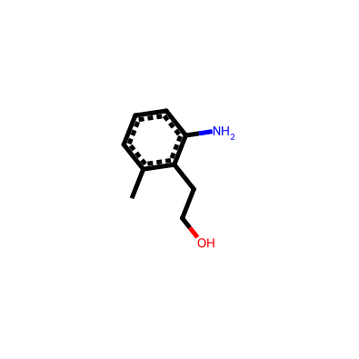 Cc1cccc(N)c1CCO